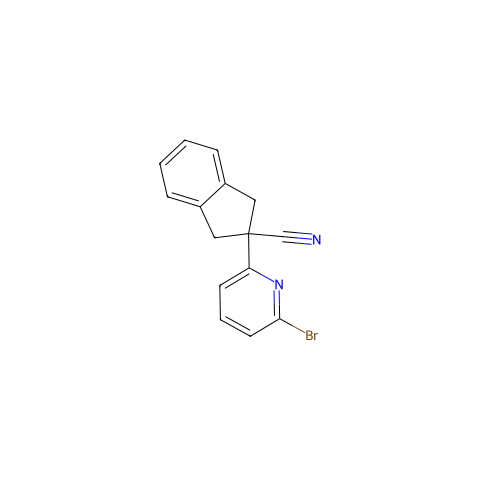 N#CC1(c2cccc(Br)n2)Cc2ccccc2C1